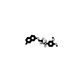 COc1ccc(S(=O)(=O)NC(=O)COc2ccc3ccc(C)cc3c2)cc1OC